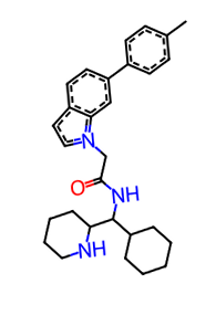 Cc1ccc(-c2ccc3ccn(CC(=O)NC(C4CCCCC4)C4CCCCN4)c3c2)cc1